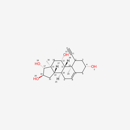 C#CC1C[C@H](O)CC2=CC[C@@H]3[C@H]([C@@H](O)C[C@]4(C)[C@@H](O)[C@H](O)C[C@@H]34)[C@]21C